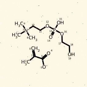 C=C(C)C(=O)[O-].C[N+](C)(C)CCOP(=O)(O)OCCO